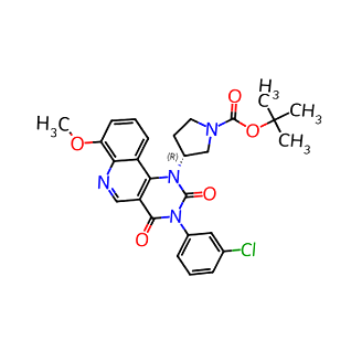 COc1cccc2c1ncc1c(=O)n(-c3cccc(Cl)c3)c(=O)n([C@@H]3CCN(C(=O)OC(C)(C)C)C3)c12